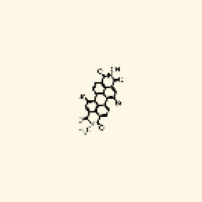 CN1C(=O)c2ccc3c4c(Br)cc5c6c(ccc(c7c(Br)cc(c2c37)C1=O)c64)C(=O)N(C)C5=O